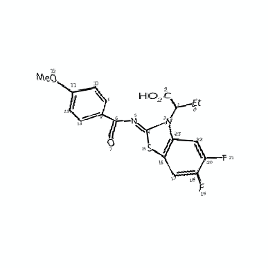 CCC(C(=O)O)n1/c(=N/C(=O)c2ccc(OC)cc2)sc2cc(F)c(F)cc21